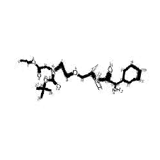 CCOC(=O)CN(CCOCCNC(=O)[C@H](N)C1CCCCC1)C(=O)OC(C)(C)C